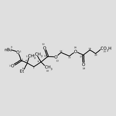 CCCCOC(=O)C(C)(CC)CC(C)(C)C(=O)OCCOC(=O)CCC(=O)O